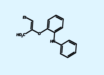 CCC=C(Oc1ccccc1Nc1ccccc1)C(=O)O